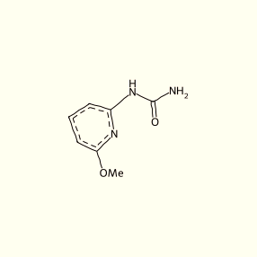 COc1cccc(NC(N)=O)n1